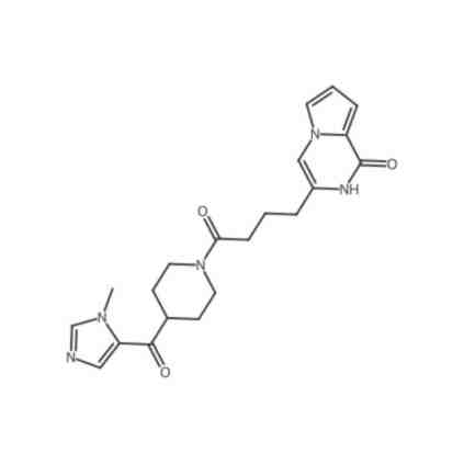 Cn1cncc1C(=O)C1CCN(C(=O)CCCc2cn3cccc3c(=O)[nH]2)CC1